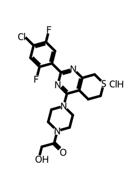 Cl.O=C(CO)N1CCN(c2nc(-c3cc(F)c(Cl)cc3F)nc3c2CCSC3)CC1